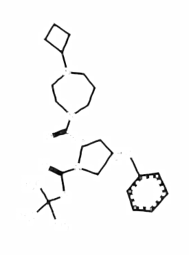 CC(C)(C)OC(=O)N1C[C@@H](Oc2ccccc2)C[C@H]1C(=O)N1CCCN(C2CCC2)CC1